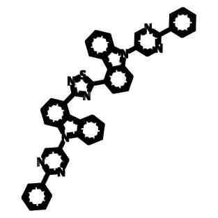 c1ccc(-c2ncc(-n3c4ccccc4c4c(-c5nsc(-c6cccc7c6c6ccccc6n7-c6cnc(-c7ccccc7)nc6)n5)cccc43)cn2)cc1